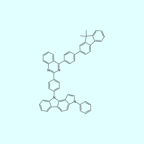 CC1(C)c2ccccc2-c2ccc(-c3ccc(-c4nc(-c5ccc(-n6c7ccccc7c7ccc8c(ccn8-c8ccccc8)c76)cc5)nc5ccccc45)cc3)cc21